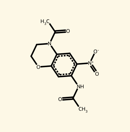 CC(=O)Nc1cc2c(cc1[N+](=O)[O-])N(C(C)=O)CCO2